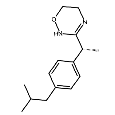 CC(C)Cc1ccc([C@@H](C)C2=NCCON2)cc1